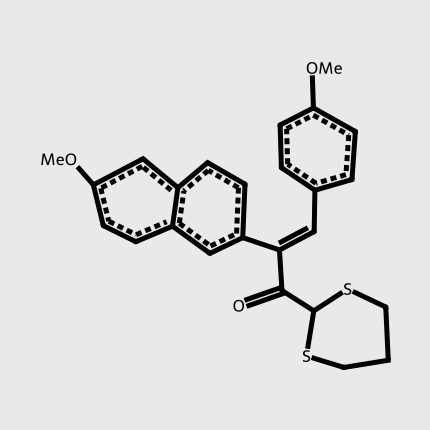 COc1ccc(/C=C(/C(=O)C2SCCCS2)c2ccc3cc(OC)ccc3c2)cc1